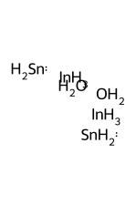 O.O.[InH3].[InH3].[SnH2].[SnH2]